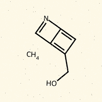 C.OCc1cc2ncc1-2